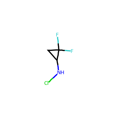 FC1(F)CC1NCl